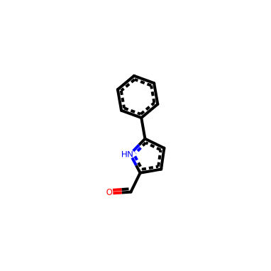 O=Cc1ccc(-c2ccccc2)[nH]1